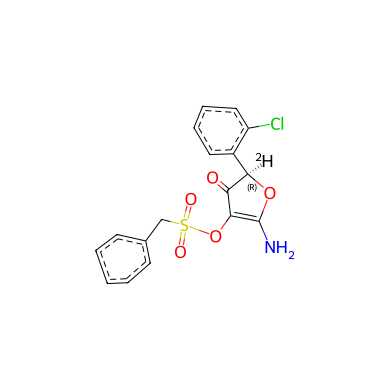 [2H][C@]1(c2ccccc2Cl)OC(N)=C(OS(=O)(=O)Cc2ccccc2)C1=O